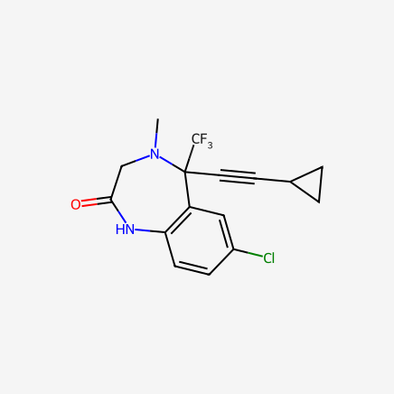 CN1CC(=O)Nc2ccc(Cl)cc2C1(C#CC1CC1)C(F)(F)F